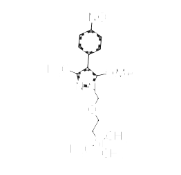 COc1c(-c2ccc([N+](=O)[O-])cc2)c(C)nn1COCC[Si](C)(C)C